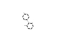 Fc1ccc(-c2c(Br)c[c]cc2Br)cc1